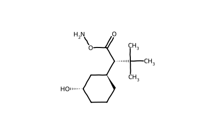 CC(C)(C)[C@@H](C(=O)ON)[C@H]1CCC[C@H](O)C1